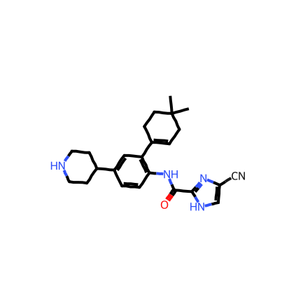 CC1(C)CC=C(c2cc(C3CCNCC3)ccc2NC(=O)c2nc(C#N)c[nH]2)CC1